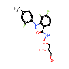 Cc1ccc(Nc2c(C(=O)NOC[C@H](O)CO)ccc(F)c2F)c(F)c1